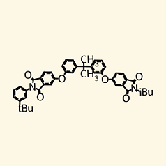 CCC(C)N1C(=O)c2ccc(Oc3cccc(C(C)(C)c4cccc(Oc5ccc6c(c5)C(=O)N(c5cccc(C(C)(C)C)c5)C6=O)c4)c3)cc2C1=O